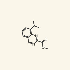 COC(=O)c1ncc2cccc(C(C)C)c2n1